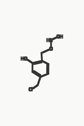 ONOCc1ccc(CCl)cc1O